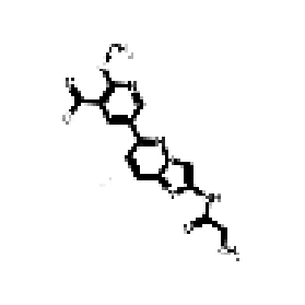 CCC(=O)Nc1cn2nc(-c3cnc(OC)c(C(=O)[O-])c3)ccc2n1.[Li+]